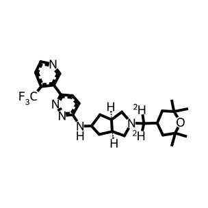 [2H]C([2H])(C1CC(C)(C)OC(C)(C)C1)N1C[C@H]2CC(Nc3ccc(-c4cnccc4C(F)(F)F)nn3)C[C@H]2C1